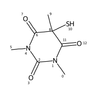 CN1C(=O)N(C)C(=O)C(C)(S)C1=O